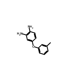 Cc1cccc(Oc2ccc(N)c(N)c2)c1